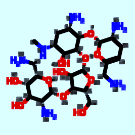 CN[C@@H]1C[C@H](N)[C@@H](O[C@H]2OC(CN)=CC[C@H]2N)[C@H](O[C@@H]2O[C@H](CO)[C@@H](O[C@H]3O[C@@H](CN)[C@@H](O)[C@H](O)[C@H]3N)[C@H]2O)[C@H]1O